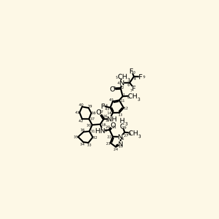 CC(C(=O)N(C)C(F)C(F)F)c1ccc(NC(=O)C(NC(=O)c2ccnn2C(C)C)C(C2CCCCC2)C2CCCCC2)c(F)c1